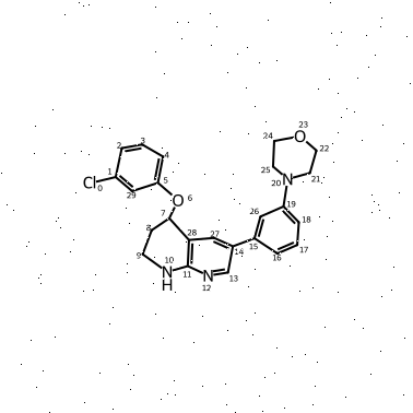 Clc1cccc(OC2CCNc3ncc(-c4cccc(N5CCOCC5)c4)cc32)c1